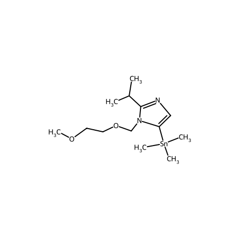 COCCOCn1[c]([Sn]([CH3])([CH3])[CH3])cnc1C(C)C